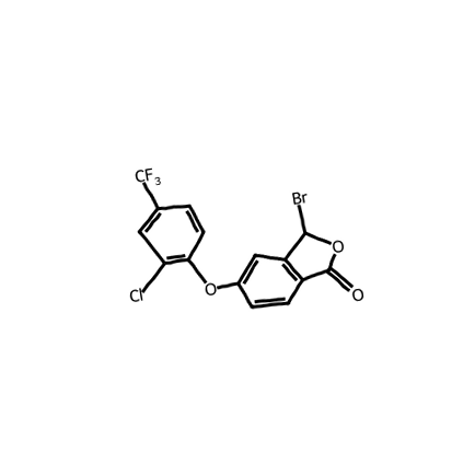 O=C1OC(Br)c2cc(Oc3ccc(C(F)(F)F)cc3Cl)ccc21